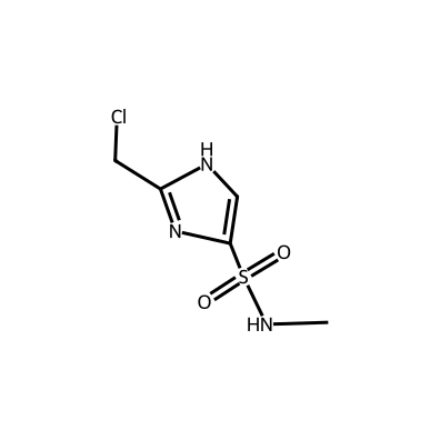 CNS(=O)(=O)c1c[nH]c(CCl)n1